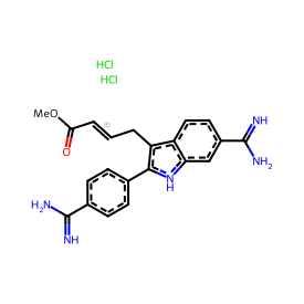 COC(=O)/C=C/Cc1c(-c2ccc(C(=N)N)cc2)[nH]c2cc(C(=N)N)ccc12.Cl.Cl